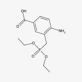 CCOP(=O)(Cc1cc(C(=O)O)ccc1N)OCC